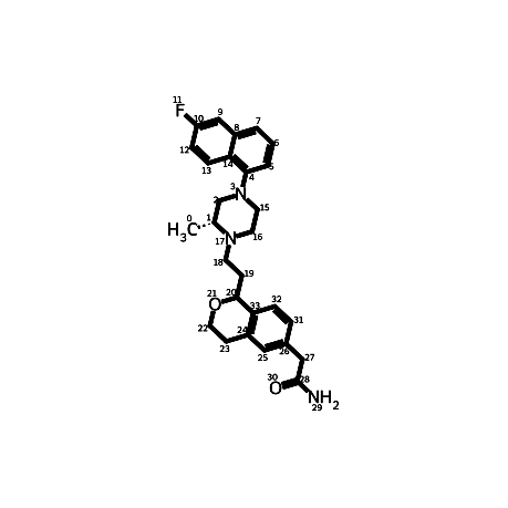 C[C@@H]1CN(c2cccc3cc(F)ccc23)CCN1CCC1OCCc2cc(CC(N)=O)ccc21